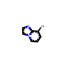 N#Cc1cc[c]n2ccnc12